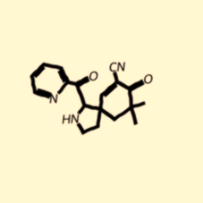 CC1(C)CC2(C=C(C#N)C1=O)CCNC2C(=O)c1ccccn1